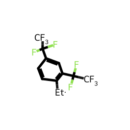 C[CH]c1ccc(C(F)(F)C(F)(F)F)cc1C(F)(F)C(F)(F)F